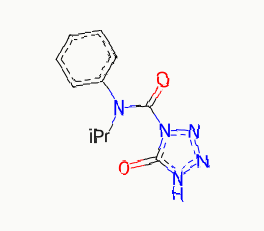 CC(C)N(C(=O)n1nn[nH]c1=O)c1ccccc1